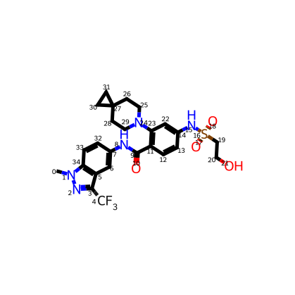 Cn1nc(C(F)(F)F)c2cc(NC(=O)c3ccc(NS(=O)(=O)CCO)cc3N3CCC4(CC3)CC4)ccc21